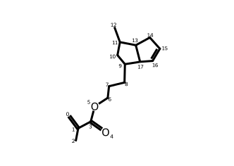 C=C(C)C(=O)OCCCC1CC(C)C2CC=CC12